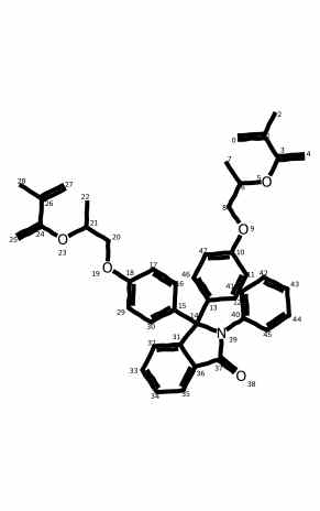 C=C(C)C(=C)OC(C)COc1ccc(C2(c3ccc(OCC(C)OC(=C)C(=C)C)cc3)c3ccccc3C(=O)N2c2ccccc2)cc1